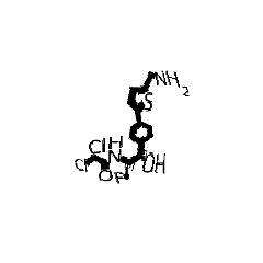 NCc1ccc(-c2ccc([C@@H](O)[C@@H](CF)NC(=O)C(Cl)Cl)cc2)s1